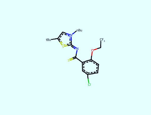 CCCCn1cc(C(C)(C)C)sc1=NC(=S)c1cc(Cl)ccc1OCC(F)(F)F